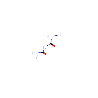 BNC(=O)NC(=O)NB